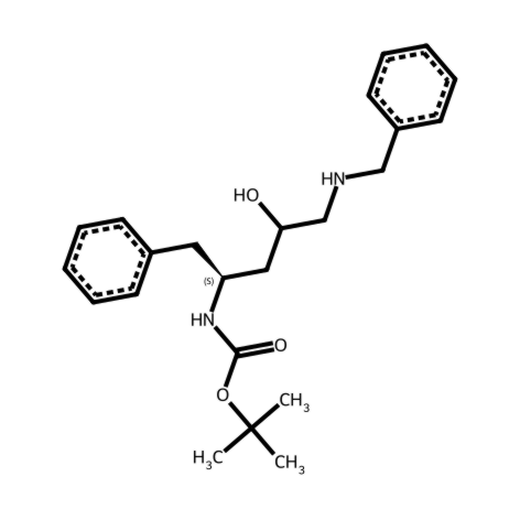 CC(C)(C)OC(=O)N[C@@H](Cc1ccccc1)CC(O)CNCc1ccccc1